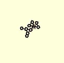 c1ccc(-c2ccc(-c3cccc(-c4nc(-c5ccccc5-c5ccccc5)nc(-c5ccccc5-c5ccccc5)n4)c3)c(-c3ccc4ccccc4c3)c2)cc1